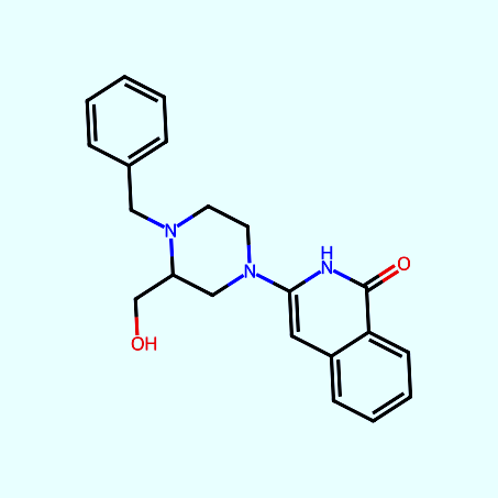 O=c1[nH]c(N2CCN(Cc3ccccc3)C(CO)C2)cc2ccccc12